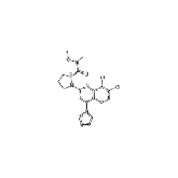 CON(C)C(=O)[C@@H]1CCCN1c1cc(-n2ccnc2)c2ccc(Cl)c(Cl)c2n1